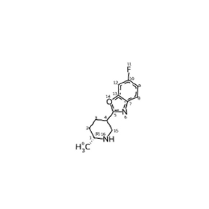 C[C@@H]1CCC(c2nc3ccc(F)cc3o2)CN1